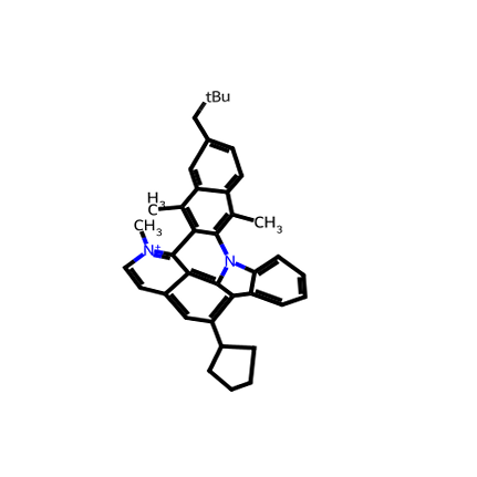 Cc1c2cc(CC(C)(C)C)ccc2c(C)c2c1c1c3c(cc[n+]1C)cc(C1CCCC1)c1c4ccccc4n2c13